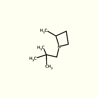 CC1CCN1CC(C)(C)C